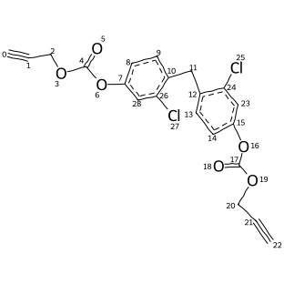 C#CCOC(=O)Oc1ccc(Cc2ccc(OC(=O)OCC#C)cc2Cl)c(Cl)c1